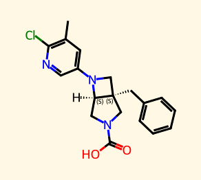 Cc1cc(N2C[C@@]3(Cc4ccccc4)CN(C(=O)O)C[C@@H]23)cnc1Cl